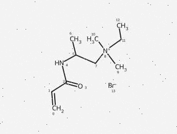 C=CC(=O)NC(C)C[N+](C)(C)CC.[Br-]